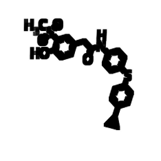 CS(=O)(=O)c1cc(CC(=O)Nc2ccc(Sc3ccc(C4CC4)cc3)cc2)ccc1O